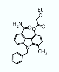 CCOCC(=O)Oc1ccc(C)c2c1c1c(C(N)=O)cccc1n2Cc1ccccc1